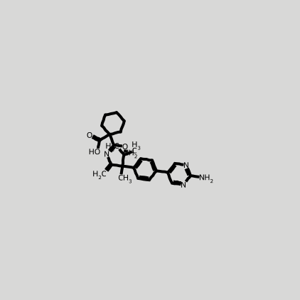 C=C(/N=C(\ON)C1(C(=O)O)CCCCC1)C(C)(c1ccc(-c2cnc(N)nc2)cc1)C(C)C